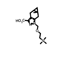 CC12Cc3c(c(C(=O)O)nn3COCC[Si](C)(C)C)CC1C2